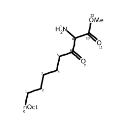 CCCCCCCCCCCCCC(=O)C(N)C(=O)OC